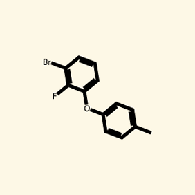 Cc1ccc(Oc2cccc(Br)c2F)cc1